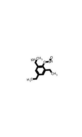 CCc1cc(CC)c(O[SH]=O)c(CC)c1.[KH]